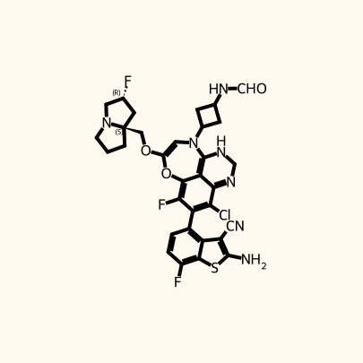 N#Cc1c(N)sc2c(F)ccc(-c3c(F)c4c5c(c3Cl)=NCNC=5N(C3CC(NC=O)C3)C=C(OC[C@@]35CCCN3C[C@H](F)C5)O4)c12